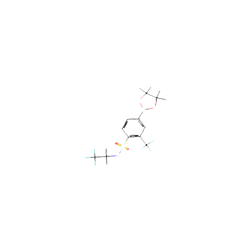 CC(C)(NS(=O)(=O)c1ccc(B2OC(C)(C)C(C)(C)O2)cc1C(F)(F)F)C(F)(F)F